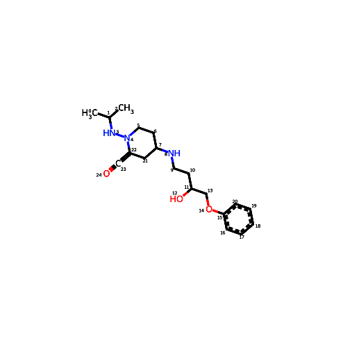 CC(C)NN1CCC(NCCC(O)COc2ccccc2)CC1=C=O